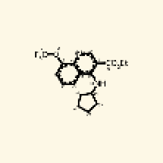 CCOC(=O)c1cnc2c(OC(F)(F)F)cccc2c1NC1CCCC1